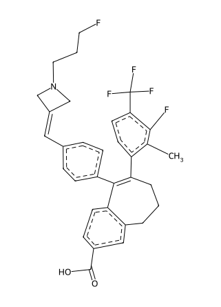 Cc1c(C2=C(c3ccc(C=C4CN(CCCF)C4)cc3)c3ccc(C(=O)O)cc3CCC2)ccc(C(F)(F)F)c1F